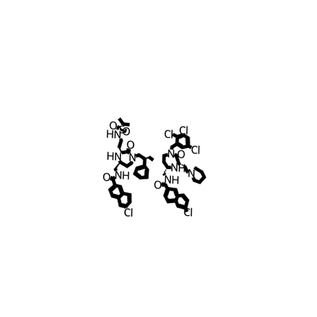 CC[C@H](CN1CC[C@@H](CNC(=O)c2ccc3cc(Cl)ccc3c2)N[C@@H](CCNS(=O)(=O)C(C)C)C1=O)c1ccccc1.O=C(NC[C@@H]1CCN(Cc2cc(Cl)cc(Cl)c2Cl)C(=O)[C@H](CCN2CCCCC2)N1)c1ccc2cc(Cl)ccc2c1